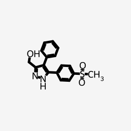 CS(=O)(=O)c1ccc(-c2[nH]nc(CO)c2-c2ccccc2)cc1